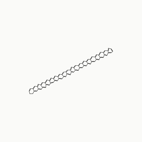 C1=Cc2cc3cc4cc5cc6cc7cc8cc9cc%10cc%11cc%12cc%13cc%14cc%15cc%16cc%17cc%18cc%19cc%20ccccc%20cc%19cc%18cc%17cc%16cc%15cc%14cc%13cc%12cc%11cc%10cc9cc8cc7cc6cc5cc4cc3cc2CC1